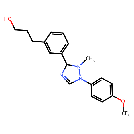 CN1C(c2cccc(CCCO)c2)N=CN1c1ccc(OC(F)(F)F)cc1